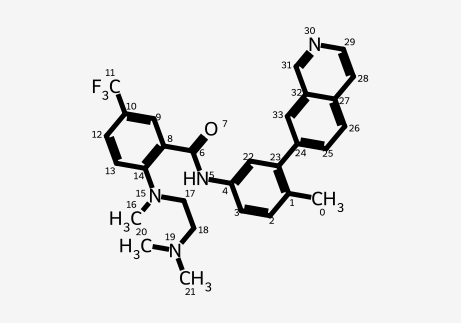 Cc1ccc(NC(=O)c2cc(C(F)(F)F)ccc2N(C)CCN(C)C)cc1-c1ccc2ccncc2c1